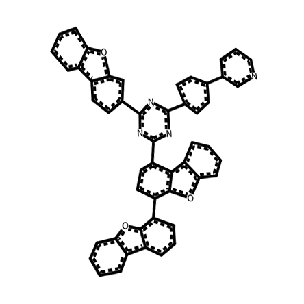 c1cncc(-c2ccc(-c3nc(-c4ccc5c(c4)oc4ccccc45)nc(-c4ccc(-c5cccc6c5oc5ccccc56)c5oc6ccccc6c45)n3)cc2)c1